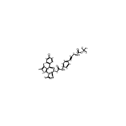 Cc1sc2c(c1C)C(c1ccc(Cl)cc1)=N[C@@H](CC(=O)Nc1ccc(C#CCNC(=O)OC(C)(C)C)cc1)c1nnc(C)n1-2